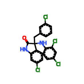 O=C1Nc2cc(Cl)ccc2C1(Cc1cccc(Cl)c1)Nc1ccc(Cl)cc1Cl